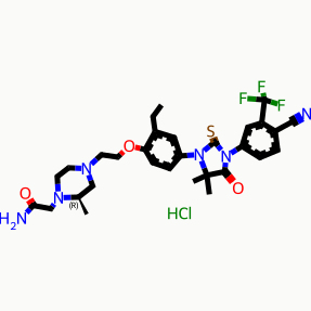 CCc1cc(N2C(=S)N(c3ccc(C#N)c(C(F)(F)F)c3)C(=O)C2(C)C)ccc1OCCN1CCN(CC(N)=O)[C@H](C)C1.Cl